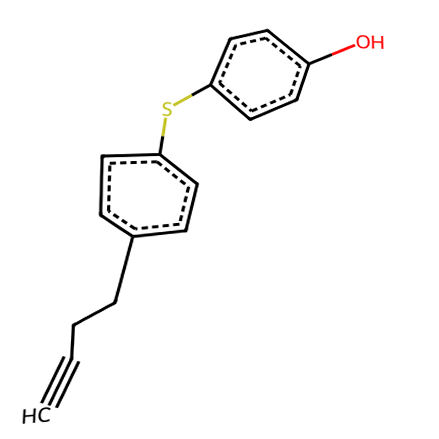 C#CCCc1ccc(Sc2ccc(O)cc2)cc1